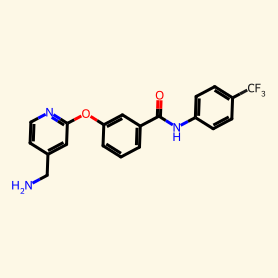 NCc1ccnc(Oc2cccc(C(=O)Nc3ccc(C(F)(F)F)cc3)c2)c1